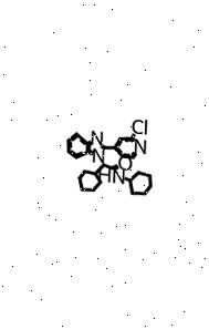 O=C(NC1CCCCC1)C(C1CCCCC1)n1c(-c2ccnc(Cl)c2)nc2ccccc21